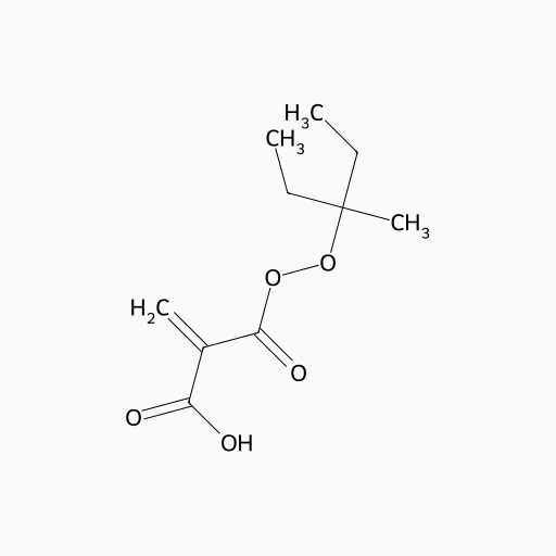 C=C(C(=O)O)C(=O)OOC(C)(CC)CC